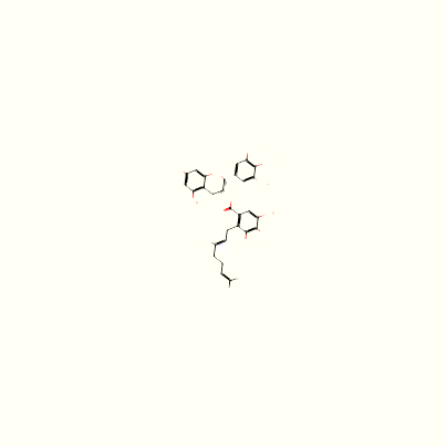 CC(C)=CCC/C(C)=C/Cc1c(C(=O)O[C@@H]2Cc3c(O)cc(O)cc3O[C@@H]2c2cc(O)c(O)c(O)c2)cc(O)c(O)c1O